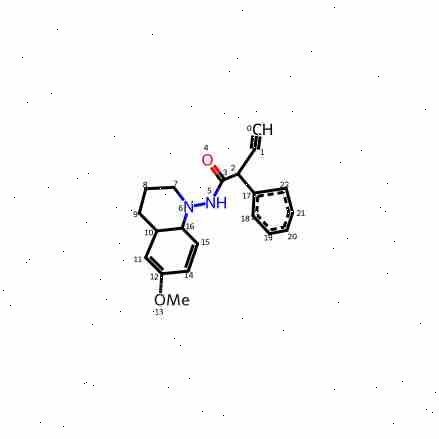 C#CC(C(=O)NN1CCCC2C=C(OC)C=CC21)c1[c]cccc1